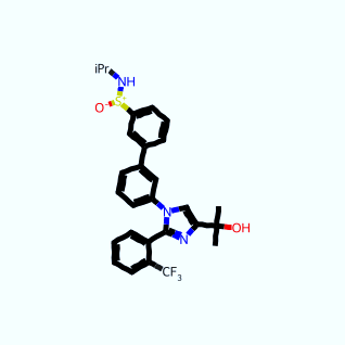 CC(C)N[S+]([O-])c1cccc(-c2cccc(-n3cc(C(C)(C)O)nc3-c3ccccc3C(F)(F)F)c2)c1